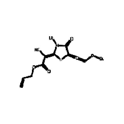 C=CCOC(=O)/C(C#N)=c1\sc(=C=COCC)c(=O)n1CC